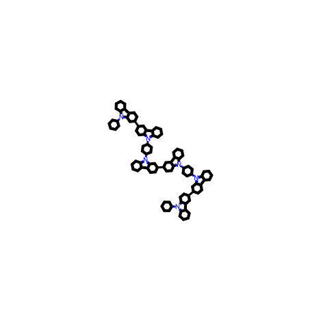 c1ccc(-n2c3ccccc3c3cc(-c4ccc5c6ccccc6n(-c6ccc(-n7c8ccccc8c8cc(-c9ccc%10c%11ccccc%11n(-c%11ccc(-n%12c%13ccccc%13c%13cc(-c%14ccc%15c%16ccccc%16n(-c%16ccccc%16)c%15c%14)ccc%13%12)cc%11)c%10c9)ccc87)cc6)c5c4)ccc32)cc1